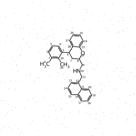 Cc1cccc(C2CC(CNCc3cccc4ccccc34)Oc3ccccc32)c1C